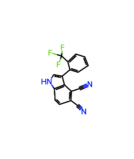 N#Cc1ccc2[nH]cc(-c3ccccc3C(F)(F)F)c2c1C#N